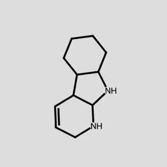 C1=CC2C(NC1)NC1CCCCC12